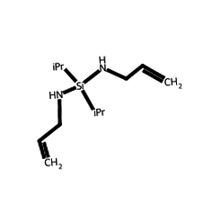 C=CCN[Si](NCC=C)(C(C)C)C(C)C